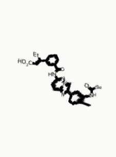 CCC(=CC(=O)O)c1cccc(C(=O)Nc2ccc3nc(-c4ccc(C)c(NC(=O)C(C)(C)C)c4)cn3n2)c1